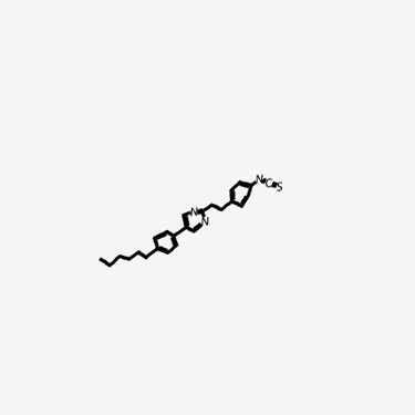 CCCCCCc1ccc(-c2cnc(CCc3ccc(N=C=S)cc3)nc2)cc1